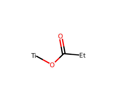 CCC(=O)[O][Ti]